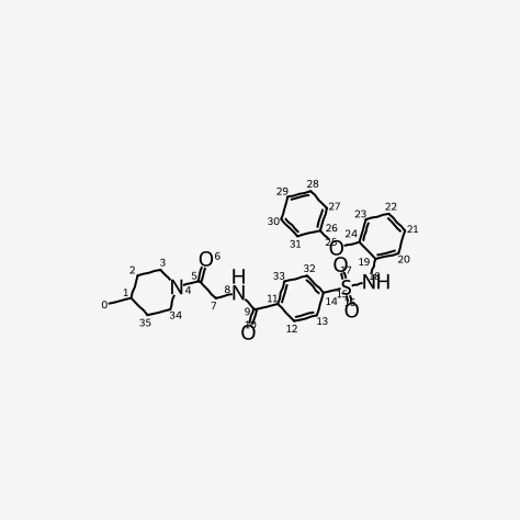 CC1CCN(C(=O)CNC(=O)c2ccc(S(=O)(=O)Nc3ccccc3Oc3ccccc3)cc2)CC1